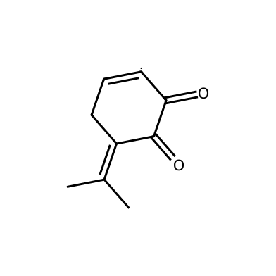 CC(C)=C1CC=[C]C(=O)C1=O